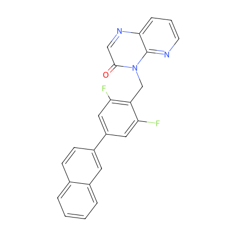 O=c1cnc2cccnc2n1Cc1c(F)cc(-c2ccc3ccccc3c2)cc1F